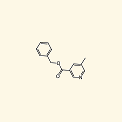 Cc1cncc(C(=O)OCc2ccccc2)c1